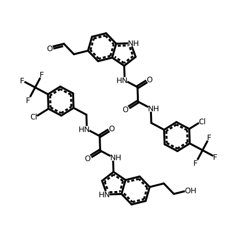 O=C(NCc1ccc(C(F)(F)F)c(Cl)c1)C(=O)Nc1c[nH]c2ccc(CCO)cc12.O=CCc1ccc2[nH]cc(NC(=O)C(=O)NCc3ccc(C(F)(F)F)c(Cl)c3)c2c1